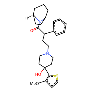 COc1ccsc1C1(O)CCN(CCC(C(=O)N2C3CCC[C@@H]2CC3)c2ccccc2)CC1